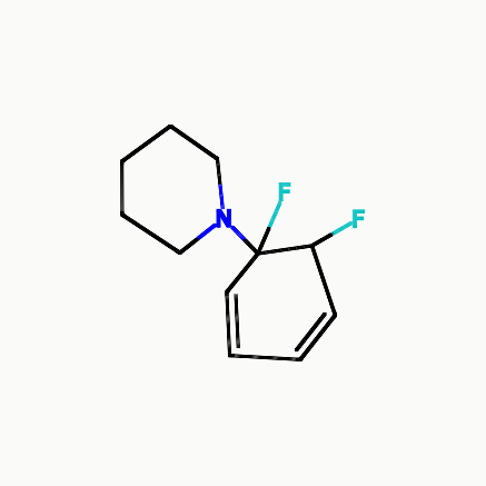 FC1C=CC=CC1(F)N1CCCCC1